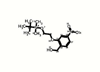 CC(C)(C)[Si](C)(C)OCCOc1cc([N+](=O)[O-])ccc1CO